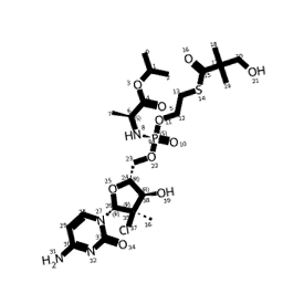 CC(C)OC(=O)[C@H](C)N[P@@](=O)(OCCSC(=O)C(C)(C)CO)OC[C@H]1O[C@@H](n2ccc(N)nc2=O)[C@](C)(Cl)[C@@H]1O